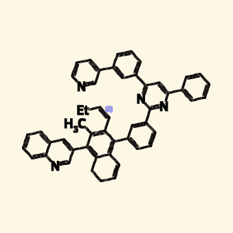 CC/C=C\c1c(C)c(-c2cnc3ccccc3c2)c2c(c1-c1cccc(-c3nc(-c4ccccc4)cc(-c4cccc(-c5cccnc5)c4)n3)c1)C=CCC2